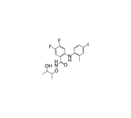 Cc1cc(I)ccc1Nc1cc(F)c(F)cc1C(=O)NOC(C)C(C)O